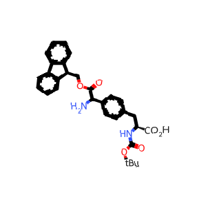 CC(C)(C)OC(=O)N[C@@H](Cc1ccc(C(N)C(=O)OCC2c3ccccc3-c3ccccc32)cc1)C(=O)O